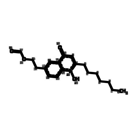 CCCCCCCc1cc(=O)c2cc(CCOC=O)ccc2n1O